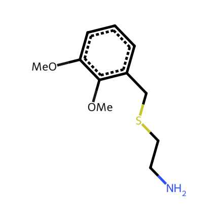 COc1cccc(CSCCN)c1OC